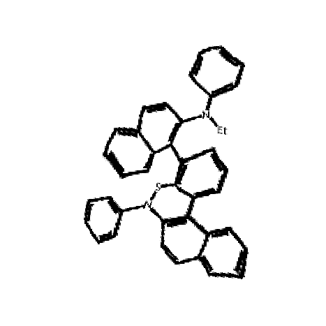 CCN(c1ccccc1)c1ccc2ccccc2c1-c1cccc2c1SN(c1ccccc1)c1ccc3ccccc3c1-2